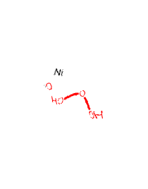 OOO.[Ni].[O]